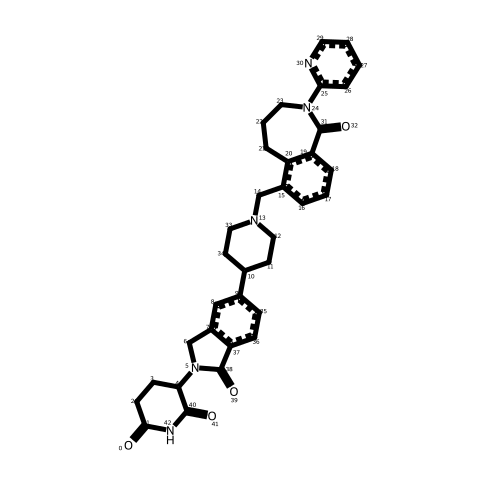 O=C1CCC(N2Cc3cc(C4CCN(Cc5cccc6c5CCCN(c5ccccn5)C6=O)CC4)ccc3C2=O)C(=O)N1